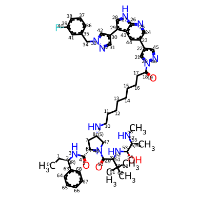 CC[C@@H](NC(=O)[C@@H]1C[C@H](NCCCCCCCCC(=O)n2cc(-c3cnc4[nH]cc(-c5cnn(Cc6cccc(F)c6)c5)c4c3)cn2)CN1C(=O)[C@@H](NC(O)[C@H](C)NC)C(C)(C)C)c1ccccc1